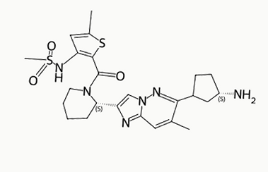 Cc1cc(NS(C)(=O)=O)c(C(=O)N2CCCC[C@H]2c2cn3nc(C4CC[C@H](N)C4)c(C)cc3n2)s1